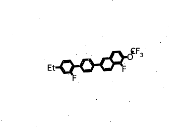 CCc1ccc(-c2ccc(-c3ccc4c(F)c(OC(F)(F)F)ccc4c3)cc2)c(F)c1